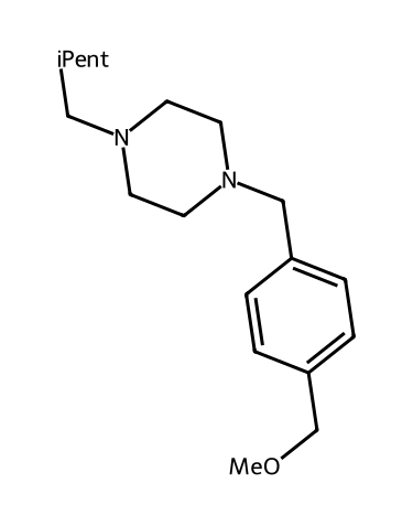 CCCC(C)CN1CCN(Cc2ccc(COC)cc2)CC1